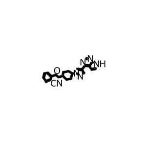 N#Cc1ccccc1C(=O)CC1CCC(n2cc(-c3ncnc4[nH]ccc34)cn2)CC1